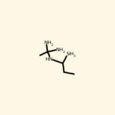 CCC([SiH3])NC(C)(N)N